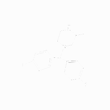 CC1CN(C(c2ccc(F)cc2)c2ccc(F)cc2)CCN1